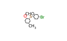 Cc1ccc(OC=O)c(Sc2ccc(Br)cc2)c1